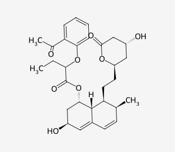 CCC(Oc1ccccc1C(C)=O)C(=O)O[C@H]1C[C@H](O)C=C2C=C[C@H](C)[C@H](CC[C@@H]3C[C@@H](O)CC(=O)O3)[C@H]21